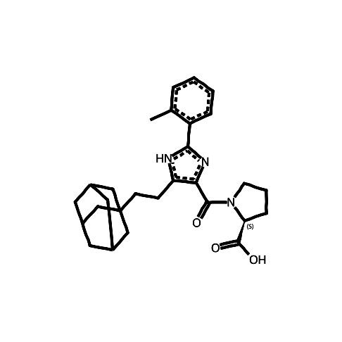 Cc1ccccc1-c1nc(C(=O)N2CCC[C@H]2C(=O)O)c(CCC23CC4CC(CC(C4)C2)C3)[nH]1